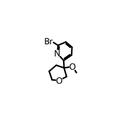 COC1(c2cccc(Br)n2)CCCOC1